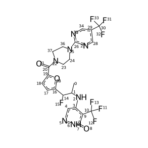 CC(Nc1cn[nH]c(=O)c1C(F)(F)F)C(F)c1ccc(C(=O)N2CCN(c3ncc(C(F)(F)F)cn3)CC2)o1